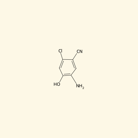 N#Cc1cc(N)c(O)cc1Cl